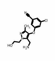 Cc1nn(CCO)c(CN)c1Oc1cc(Cl)cc(C#N)c1